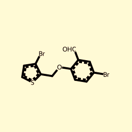 O=Cc1cc(Br)ccc1OCc1sccc1Br